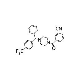 N#Cc1cccc(C(=O)N2CCN(C(c3ccccc3)c3ccc(C(F)(F)F)cc3)CC2)c1